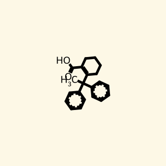 CC(C1=C(C(=O)O)CCCC1)(c1ccccc1)c1ccccc1